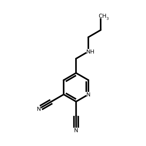 CCCNCc1cnc(C#N)c(C#N)c1